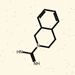 [NH]C(=N)N1CCC2C=CC=CC2C1